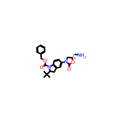 CC(C)(C)C1Cc2cc(N3C[C@H](CN)OC3=O)ccc2N1C(=O)OCc1ccccc1